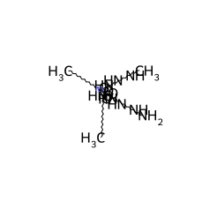 CCCCCCCCCCCCC/C=C/[C@@H](OC(=O)NCCCNCCCCNCCCC)[C@H](COC(=O)NCCCNCCCCNCCCN)NC(=O)CCCCCCCCCCCCCCC